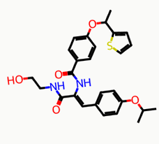 CC(C)Oc1ccc(C=C(NC(=O)c2ccc(OC(C)c3cccs3)cc2)C(=O)NCCO)cc1